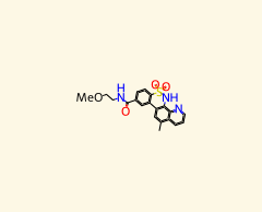 COCCNC(=O)c1ccc2c(c1)-c1cc(C)c3cccnc3c1NS2(=O)=O